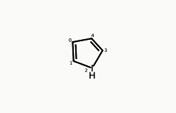 C1=C[IH]C=C1